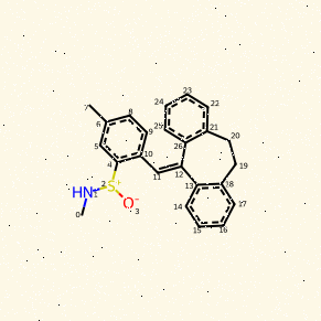 CN[S+]([O-])c1cc(C)ccc1C=C1c2ccccc2CCc2ccccc21